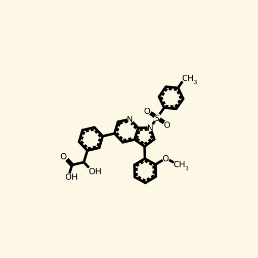 COc1ccccc1-c1cn(S(=O)(=O)c2ccc(C)cc2)c2ncc(-c3cccc(C(O)C(=O)O)c3)cc12